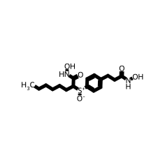 CCCCCCC(C(=O)NO)[S+]([O-])c1ccc(CCC(=O)NO)cc1